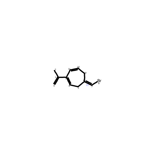 C=C(C)C1=CC/C(=C/Br)CC=C1